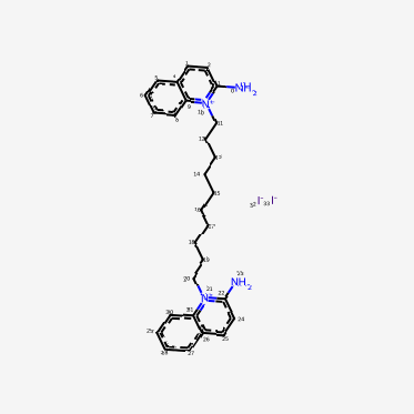 Nc1ccc2ccccc2[n+]1CCCCCCCCCC[n+]1c(N)ccc2ccccc21.[I-].[I-]